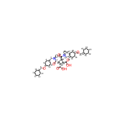 CN(Cc1ccc(OCc2ccccc2)cc1)C(=O)[C@H]1[C@@H](C(=O)O)[C@H](C(=O)O)[C@@H]1C(=O)N(C)Cc1ccc(OCc2ccccc2)cc1